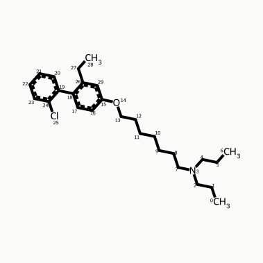 CCCN(CCC)CCCCCCCOc1ccc(-c2ccccc2Cl)c(CC)c1